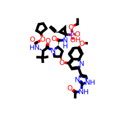 C=C[C@@H]1C[C@]1(NC(=O)[C@@H]1C[C@@H](Oc2cc(-c3c[nH]c(NC(C)=O)n3)nc3cc(OC)ccc23)CN1C(=O)[C@@H](NC(=O)OC1CCCC1)C(C)(C)C)P(=O)(O)OCC